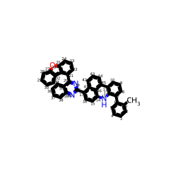 Cc1ccccc1-c1cccc2c1Nc1ccc(-c3nc(-c4cccc5oc6ccccc6c45)c4ccccc4n3)c3cccc-2c13